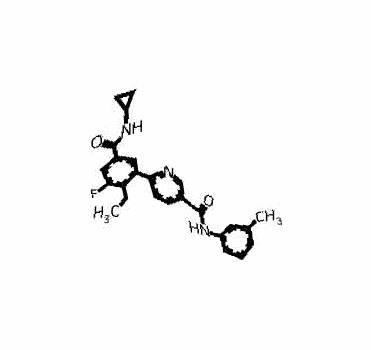 CCc1c(F)cc(C(=O)NC2CC2)cc1-c1ccc(C(=O)Nc2cccc(C)c2)cn1